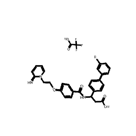 N=c1ccccn1CCOc1ccc(C(=O)NC(CC(=O)O)c2ccc(-c3cccc(F)c3)cc2)cc1.O=C(O)C(F)(F)F